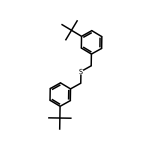 CC(C)(C)c1cccc(CSCc2cccc(C(C)(C)C)c2)c1